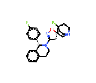 Fc1ccc([C@H]2c3ccccc3CCN2C2=NO[C@]3(C2)CN2CCC3(F)CC2)cc1